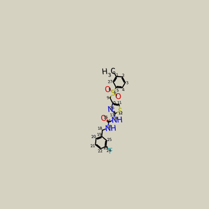 Cc1cccc(S(=O)(=O)Cc2csc(NC(=O)NCc3cccc(F)c3)n2)c1